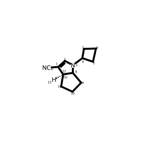 N#CC1=CN(C2CCC2)C2CCC[C@@H]12